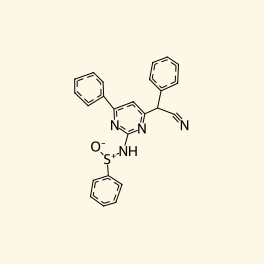 N#CC(c1ccccc1)c1cc(-c2ccccc2)nc(N[S+]([O-])c2ccccc2)n1